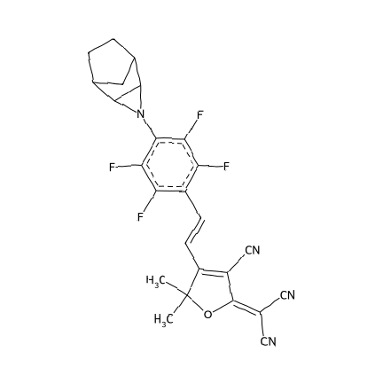 CC1(C)OC(=C(C#N)C#N)C(C#N)=C1C=Cc1c(F)c(F)c(N2C3C4CCC(C4)C32)c(F)c1F